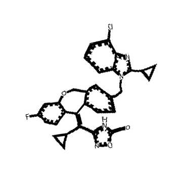 O=c1[nH]c(C(=C2c3ccc(Cn4c(C5CC5)nc5c(Cl)cccc54)cc3COc3cc(F)ccc32)C2CC2)no1